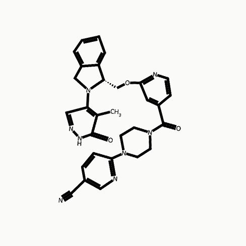 Cc1c(N2Cc3ccccc3[C@@H]2COc2cc(C(=O)N3CCN(c4ccc(C#N)cn4)CC3)ccn2)cn[nH]c1=O